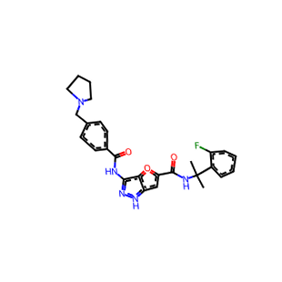 CC(C)(NC(=O)c1cc2[nH]nc(NC(=O)c3ccc(CN4CCCC4)cc3)c2o1)c1ccccc1F